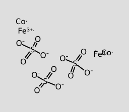 O=S(=O)([O-])[O-].O=S(=O)([O-])[O-].O=S(=O)([O-])[O-].[Co].[Co].[Fe+3].[Fe+3]